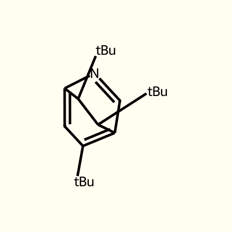 CC(C)(C)c1cc2ncc1C(C(C)(C)C)C2C(C)(C)C